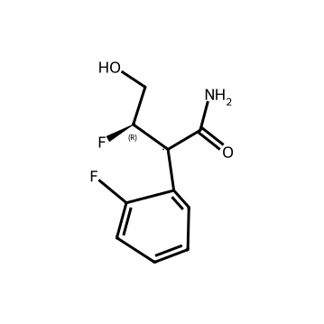 NC(=O)[C](c1ccccc1F)[C@@H](F)CO